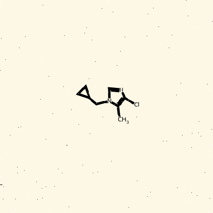 Cc1c(Cl)n[c]n1CC1CC1